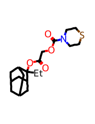 CCC1(OC(=O)COC(=O)N2CCSCC2)C2CC3CC(C2)CC1C3